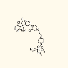 CC(C)(C)OC(=O)N1CCN(CCCN2CCN(c3cccc(C4(CC(F)F)CNc5nccc(Cl)c54)c3)C(=O)C2)CC1